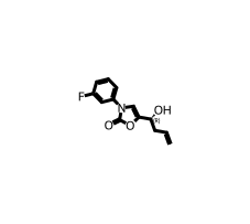 C=CC[C@@H](O)c1cn(-c2cccc(F)c2)c(=O)o1